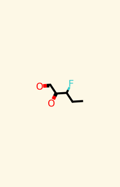 CCC(F)C(=O)C=O